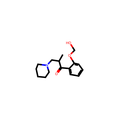 CC(CN1CCCCC1)C(=O)c1ccccc1OCO